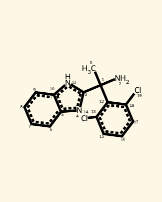 CC(N)(c1nc2ccccc2[nH]1)c1c(Cl)cccc1Cl